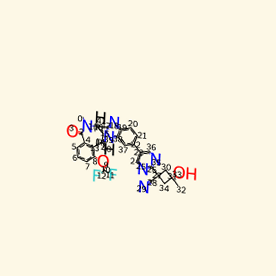 CN1C(=O)c2cccc(OC(F)F)c2[C@H]2C[C@@H]1c1nc3ccc(-c4cnc(C5(C#N)CC(C)(O)C5)nc4)cc3n12